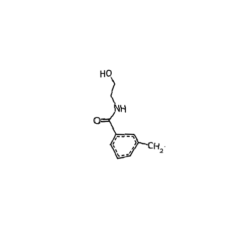 [CH2]c1cccc(C(=O)NCCO)c1